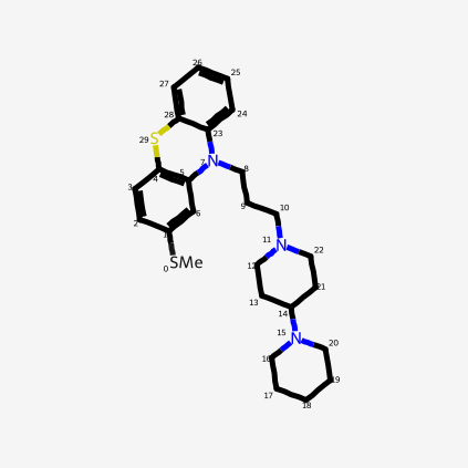 CSc1ccc2c(c1)N(CCCN1CCC(N3CCCCC3)CC1)c1ccccc1S2